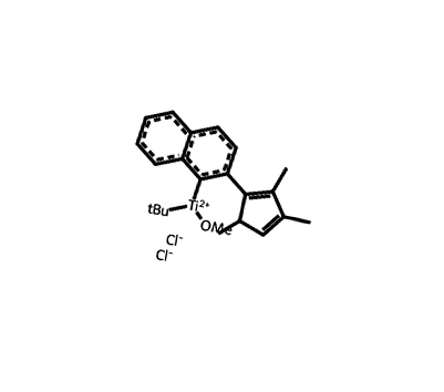 C[O][Ti+2]([c]1c(C2=C(C)C(C)=CC2C)ccc2ccccc12)[C](C)(C)C.[Cl-].[Cl-]